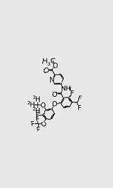 [2H]C([2H])([2H])Oc1c(Oc2ccc(C(F)F)c(F)c2C(=O)Nc2ccc(C(=O)OC)nc2)ccc(OC(F)(F)F)c1F